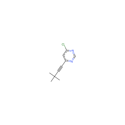 CC(C)(C)C#Cc1cc(Cl)ncn1